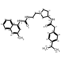 Cc1cc(NC(=O)NCCN2CCC(NC(=O)Cc3ccc(C(C)C)cc3)C2)c2ccccc2n1